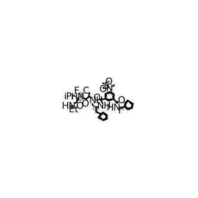 CCNC(=O)[C@@H](NC(=O)C(CC(F)(F)F)NC[C@H](Cc1ccccc1)NC(=O)c1cc(C(=O)N[C@H](C)c2ccccc2)cc(N(C)S(C)(=O)=O)c1)C(C)C